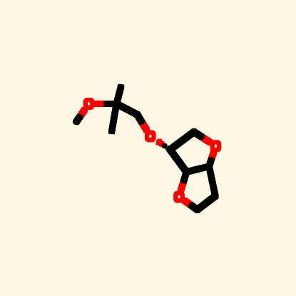 COC(C)(C)CO[C@@H]1COC2CCOC21